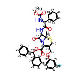 CC(C)(C)OC(=O)NC(C(=O)NC1C(=O)N2C(C(=O)OC(c3ccccc3)c3ccccc3)=C(COc3cccc(F)c3)CS[C@H]12)c1ccccc1